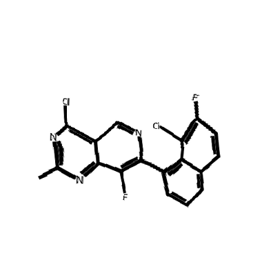 Cc1nc(Cl)c2cnc(-c3cccc4ccc(F)c(Cl)c34)c(F)c2n1